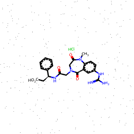 CN1C(=O)CN(CC(=O)N[C@@H](CC(=O)O)c2ccccc2)C(=O)c2cc(NC(=N)N)ccc21.Cl